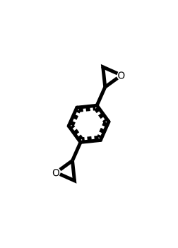 c1cc(C2CO2)ccc1C1CO1